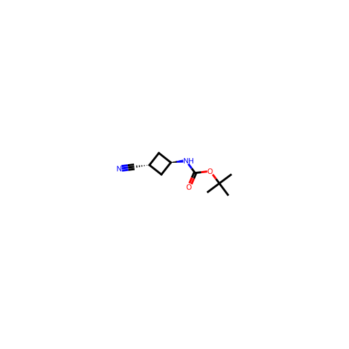 CC(C)(C)OC(=O)N[C@H]1C[C@H](C#N)C1